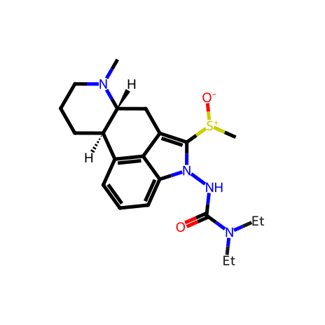 CCN(CC)C(=O)Nn1c([S+](C)[O-])c2c3c(cccc31)[C@H]1CCCN(C)[C@@H]1C2